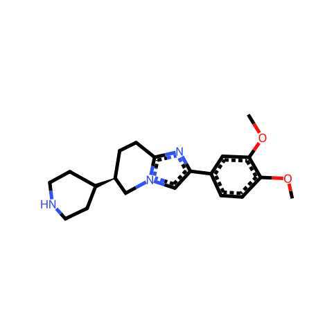 COc1ccc(-c2cn3c(n2)CC[C@H](C2CCNCC2)C3)cc1OC